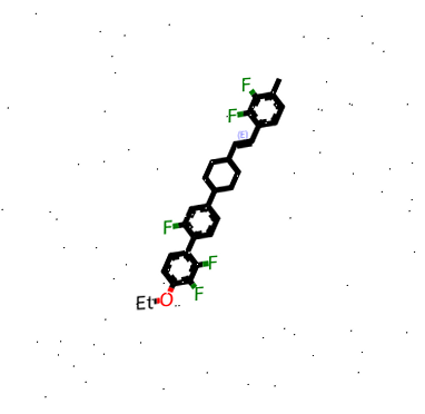 CCOc1ccc(-c2ccc(C3CCC(/C=C/c4ccc(C)c(F)c4F)CC3)cc2F)c(F)c1F